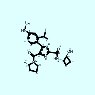 CCCNc1cc(C(F)F)c(-c2sc(C(=O)N[C@H]3CC[C@H]3O)nc2C(=O)N2CCC[C@@H]2C)cn1